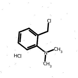 CN(C)c1ccccc1CCl.Cl